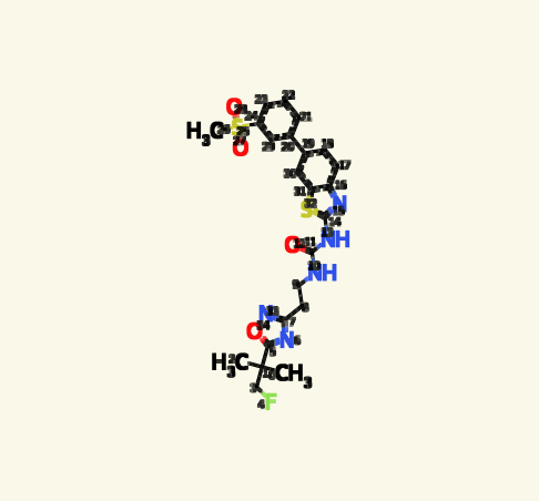 CC(C)(CF)c1nc(CCNC(=O)Nc2nc3ccc(-c4cccc(S(C)(=O)=O)c4)cc3s2)no1